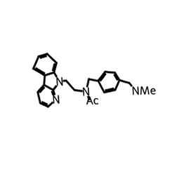 CNCc1ccc(CN(CCn2c3ccccc3c3cccnc32)C(C)=O)cc1